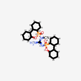 N#CN(C(N)=NP1(=O)OC2CCCCC2C2CCCCC21)P1(=O)OC2CCCCC2C2CCCCC21